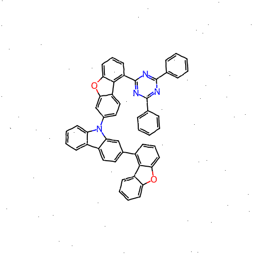 c1ccc(-c2nc(-c3ccccc3)nc(-c3cccc4oc5cc(-n6c7ccccc7c7ccc(-c8cccc9oc%10ccccc%10c89)cc76)ccc5c34)n2)cc1